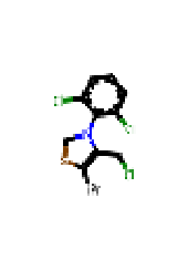 CC(C)C1=C(CCl)N(c2c(Cl)cccc2Cl)CS1